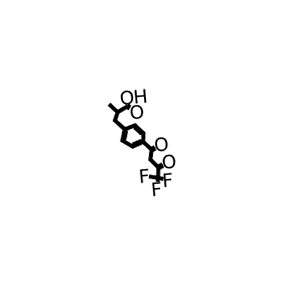 CC(Cc1ccc(C(=O)CC(=O)C(F)(F)F)cc1)C(=O)O